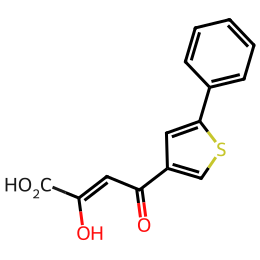 O=C(O)C(O)=CC(=O)c1csc(-c2ccccc2)c1